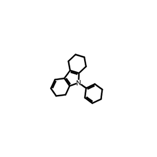 C1=CC(n2c3c(c4c2CCCC4)C=CCC3)=CCC1